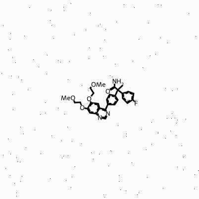 COCCOc1cc2ncnc(-c3ccc(C(C)(C(N)=O)c4ccc(F)cc4)cc3)c2cc1OCCOC